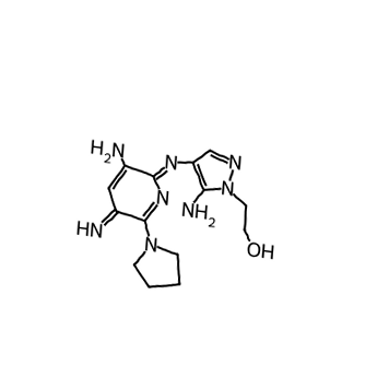 N=C1C=C(N)/C(=N/c2cnn(CCO)c2N)N=C1N1CCCC1